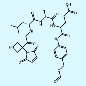 CC(C)C[C@@H](NCC(=O)C1(N2C(=O)C=CC2=O)CNC1)C(=O)N[C@@H](C)C(=O)N[C@@H](CCC(=O)O)C(=O)Nc1ccc(COC=O)cc1